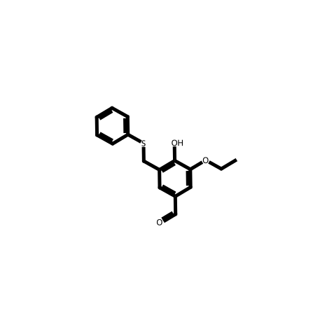 CCOc1cc(C=O)cc(CSc2ccccc2)c1O